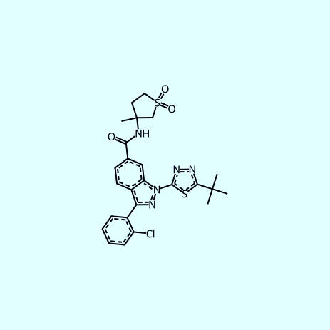 CC1(NC(=O)c2ccc3c(-c4ccccc4Cl)nn(-c4nnc(C(C)(C)C)s4)c3c2)CCS(=O)(=O)C1